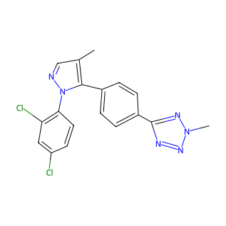 Cc1cnn(-c2ccc(Cl)cc2Cl)c1-c1ccc(-c2nnn(C)n2)cc1